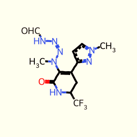 CN(/N=N\NC=O)C1=C(c2ccn(C)n2)CC(C(F)(F)F)NC1=O